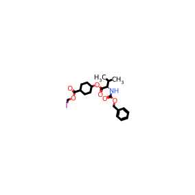 CC(C)[C@H](NC(=O)OCc1ccccc1)C(=O)OC1CCC(C(=O)OCI)CC1